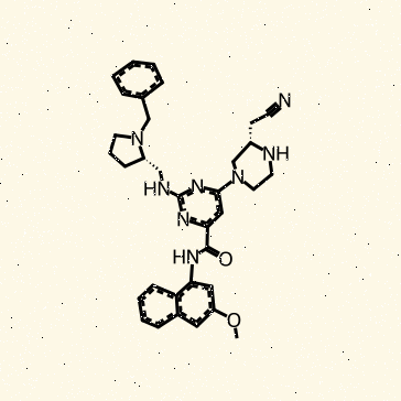 COc1cc(NC(=O)c2cc(N3CCN[C@@H](CC#N)C3)nc(NC[C@@H]3CCCN3Cc3ccccc3)n2)c2ccccc2c1